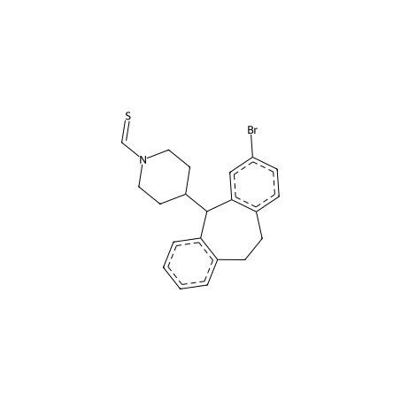 S=CN1CCC(C2c3ccccc3CCc3ccc(Br)cc32)CC1